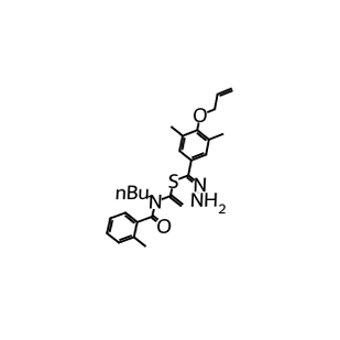 C=CCOc1c(C)cc(/C(=N/N)SC(=C)N(CCCC)C(=O)c2ccccc2C)cc1C